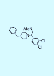 CNCC(c1ccc(Cl)c(Cl)c1)N1CCC(Cc2ccccc2)CC1